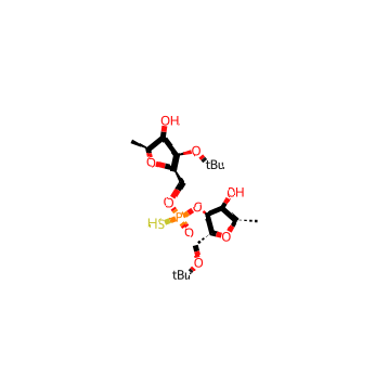 C[C@@H]1O[C@H](COP(=O)(S)O[C@@H]2C(O)[C@H](C)O[C@@H]2COC(C)(C)C)[C@H](OC(C)(C)C)C1O